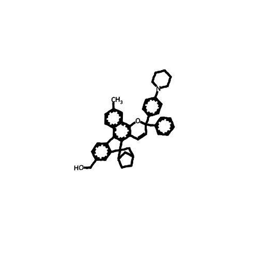 Cc1ccc2c3c(c4c(c2c1)OC(c1ccccc1)(c1ccc(N2CCCCC2)cc1)C=C4)C1(CC2CCC1C2)c1cc(CO)ccc1-3